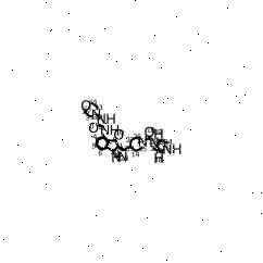 O=C(Nc1cccc2c1C(=O)C1=C(C3CCN(C(=O)N4C[C@@H]5C[C@H]4CN5)CC3)N=NC12)NN1CCOCC1